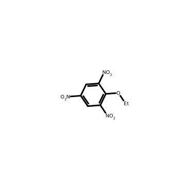 CCOc1c([N+](=O)[O-])cc([N+](=O)[O-])cc1[N+](=O)[O-]